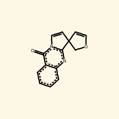 O=c1c2ccccc2nc2n1C=CC21C=COC1